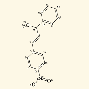 O=[N+]([O-])c1ccc(C=CC(O)c2ccccc2)cc1